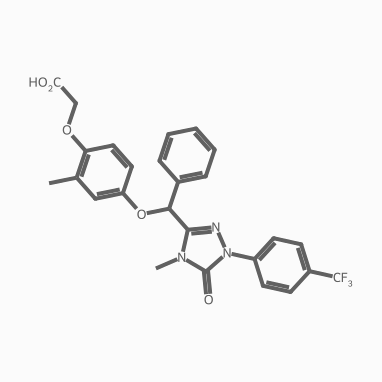 Cc1cc(OC(c2ccccc2)c2nn(-c3ccc(C(F)(F)F)cc3)c(=O)n2C)ccc1OCC(=O)O